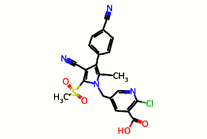 Cc1c(-c2ccc(C#N)cc2)c(C#N)c(S(C)(=O)=O)n1Cc1cnc(Cl)c(C(=O)O)c1